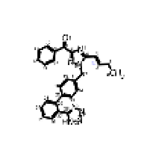 CC/C=C/c1nc(C(=O)c2ccccc2)nn1Cc1ccc(-c2ccccc2-c2nnn[nH]2)cc1